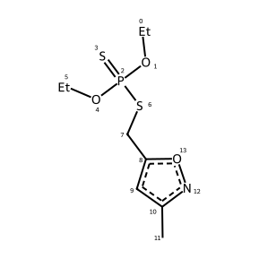 CCOP(=S)(OCC)SCc1cc(C)no1